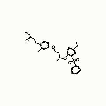 CCc1ccc(O[C@@H](C)CCOc2ccc(CCC(=O)OC)c(C)c2)c(S(=O)(=O)c2ccccc2)c1